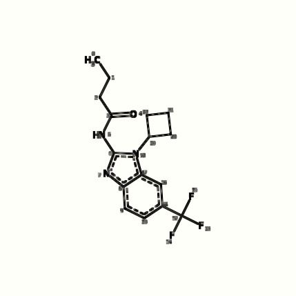 CCCC(=O)Nc1nc2ccc(C(F)(F)F)cc2n1C1CCC1